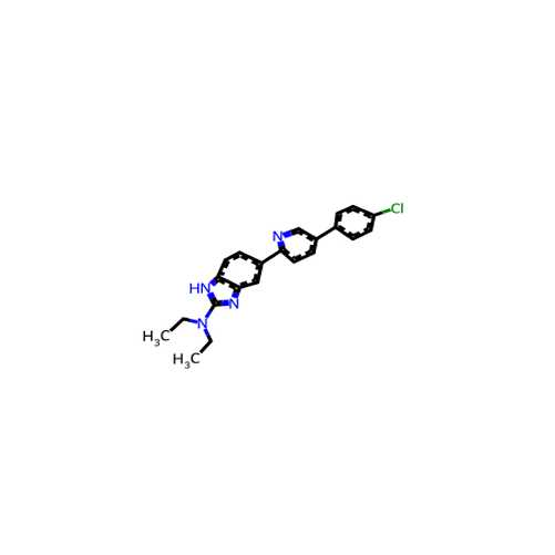 CCN(CC)c1nc2cc(-c3ccc(-c4ccc(Cl)cc4)cn3)ccc2[nH]1